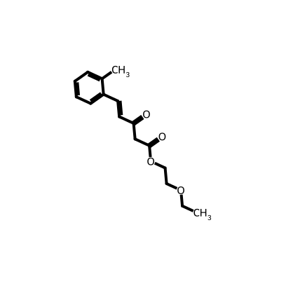 CCOCCOC(=O)CC(=O)C=Cc1ccccc1C